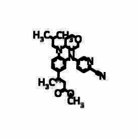 COC(=O)C[C@@H](C)c1ccc(N(CC(C)C)C2CCOCC2)c(Nc2ccc(C#N)nc2)c1